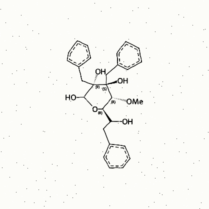 CO[C@@H]1[C@@H](C(O)Cc2ccccc2)OC(O)[C@@](O)(Cc2ccccc2)[C@]1(O)Cc1ccccc1